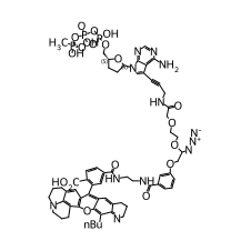 CCCCc1c2c(cc3c1=NCCC3)=C(c1cc(C(=O)NCCNC(=O)c3cccc(OCC(N=[N+]=[N-])OCCOCC(=O)NCC#Cc4cn([C@H]5CC[C@@H](COP(=O)(O)OP(=O)(O)OP(C)(=O)O)O5)c5ncnc(N)c45)c3)ccc1C(=O)O)c1cc3c4c(c1O2)CCCN4CCC3